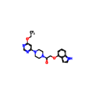 O=C(COc1cccc2[nH]ccc12)N1CCN(c2cc(OCC(F)(F)F)ncn2)CC1